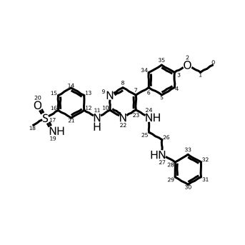 CCOc1ccc(-c2cnc(Nc3cccc(S(C)(=N)=O)c3)nc2NCCNc2ccccc2)cc1